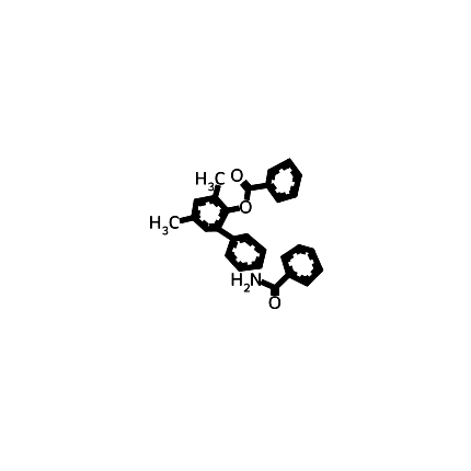 Cc1cc(C)c(OC(=O)c2ccccc2)c(-c2ccccc2)c1.NC(=O)c1ccccc1